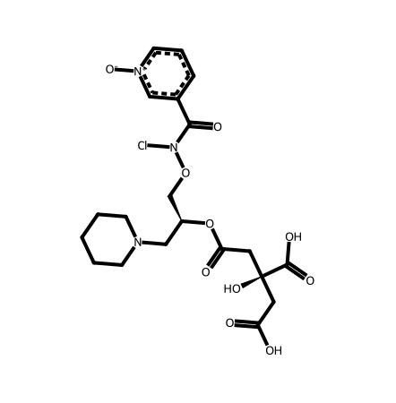 O=C(O)C[C@](O)(CC(=O)O[C@H](CON(Cl)C(=O)c1ccc[n+]([O-])c1)CN1CCCCC1)C(=O)O